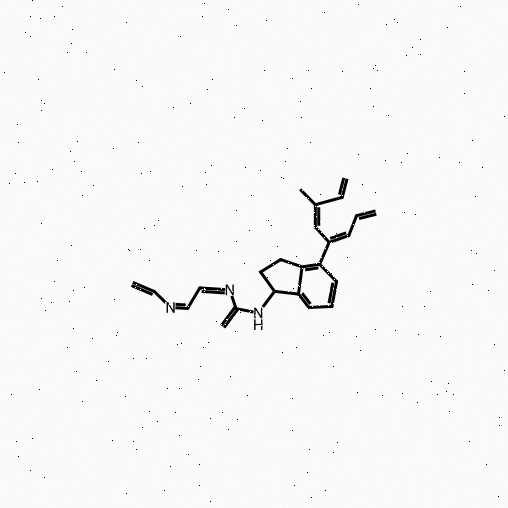 C=C/C=C(\C=C(\C)C=C)c1cccc2c1CCC2NC(=C)/N=C\C=N/C=C